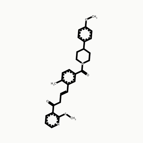 COc1ccc(C2CCN(C(=O)c3ccc(C)c(/C=C/CC(=O)c4cccnc4SC)c3)CC2)cc1